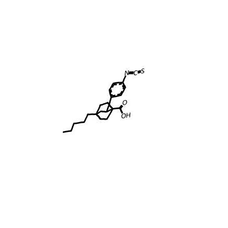 CCCCCC12CCC(C(=O)O)(CC1)C(c1ccc(N=C=S)cc1)C2